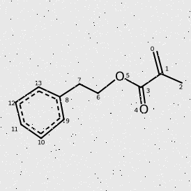 C=C(C)C(=O)OCCc1[c]cccc1